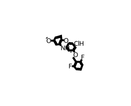 COc1ccc(Oc2ccc(OCc3c(F)cccc3F)cc2)c(N)c1.Cl